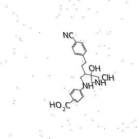 Cl.N#Cc1ccc(CCC(CNc2ccc(C(=O)O)cc2)C2(O)CNC2)cc1